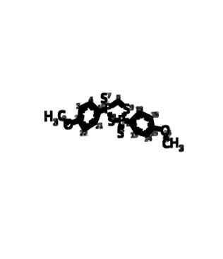 COc1ccc(P2(=S)CSP(=S)(c3ccc(OC)cc3)S2)cc1